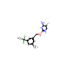 CC(F)(F)c1cc(COc2ncc(F)c(N)n2)cc(C(F)(F)F)c1